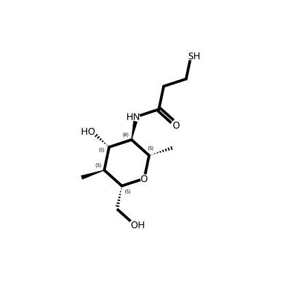 C[C@H]1[C@H](O)[C@@H](NC(=O)CCS)[C@H](C)O[C@@H]1CO